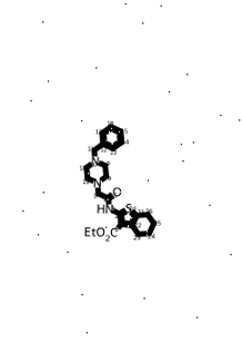 CCOC(=O)c1c(NC(=O)CN2CCN(Cc3ccccc3)CC2)sc2c1CCCC2